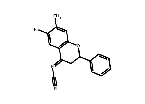 Cc1cc2c(cc1Br)/C(=N/C#N)CC(c1ccccc1)O2